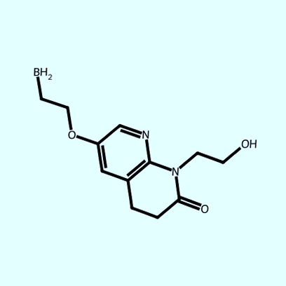 BCCOc1cnc2c(c1)CCC(=O)N2CCO